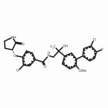 COc1ccc(C(O)(CNC(=O)c2ccc(O[C@@H]3CCNC3=O)c(Cl)c2)C(F)(F)F)cc1-c1ccc(F)c(Cl)c1